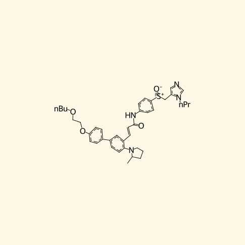 CCCCOCCOc1ccc(-c2ccc(N3CCCC3C)c(C=CC(=O)Nc3ccc([S@@+]([O-])Cc4cncn4CCC)cc3)c2)cc1